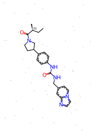 CC[C@H](C)C(=O)N1CCC(c2ccc(NC(=O)NCc3ccn4ccnc4c3)cc2)C1